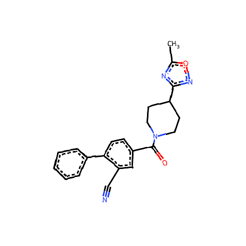 Cc1nc(C2CCN(C(=O)c3ccc(-c4ccccc4)c(C#N)c3)CC2)no1